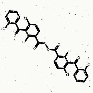 O=C(OOC(=O)c1ccc(Cl)c(C(=O)c2ccccc2Cl)c1Cl)c1ccc(Cl)c(C(=O)c2ccccc2Cl)c1Cl